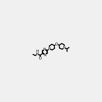 CCNC(=O)c1cnc(N2CCC(OC3CCN(C(C)C)CC3)CC2)cn1